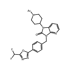 CC(=O)N1CCC(n2c(=O)n(Cc3ccc(-c4nnc(C(F)F)o4)cc3)c3ncccc32)CC1